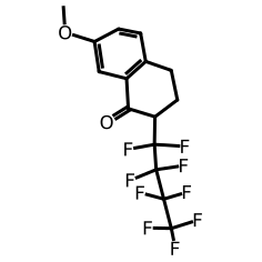 COc1ccc2c(c1)C(=O)C(C(F)(F)C(F)(F)C(F)(F)C(F)(F)F)CC2